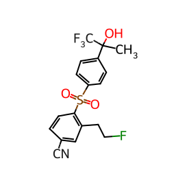 CC(O)(c1ccc(S(=O)(=O)c2ccc(C#N)cc2CCF)cc1)C(F)(F)F